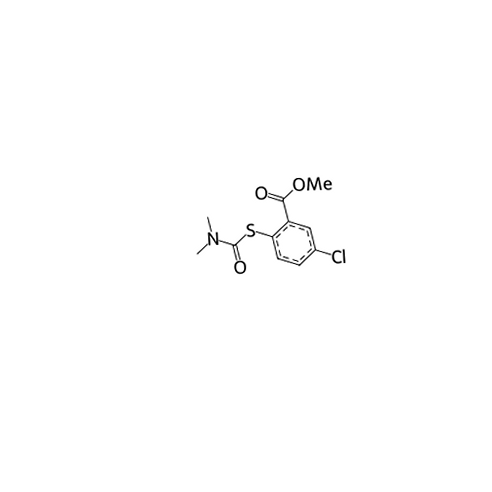 COC(=O)c1cc(Cl)ccc1SC(=O)N(C)C